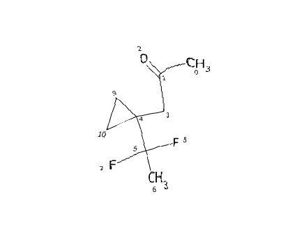 CC(=O)CC1(C(C)(F)F)CC1